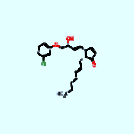 O=C(O)CCCC=CC[C@H]1C(=O)C=C[C@@H]1C=C[C@@H](O)COc1cccc(Cl)c1